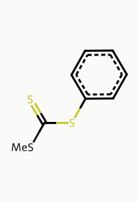 CSC(=S)Sc1ccccc1